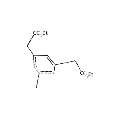 CCOC(=O)Cc1cc(C)cc(CC(=O)OCC)c1